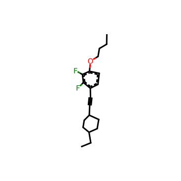 CCCCOc1ccc(C#CC2CCC(CC)CC2)c(F)c1F